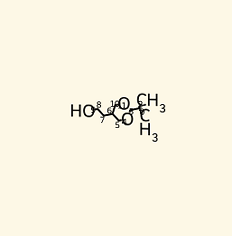 CC(C)C1OCC(CCO)CO1